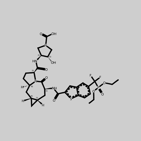 CCOP(=O)(OCC)C(F)(F)c1ccc2sc(C(=O)N[C@H]3C[C@@H]4C[C@@H]4C[C@H]4CC[C@@H](C(=O)N[C@H]5CN(C(=O)O)C[C@@H]5O)N4C3=O)cc2c1